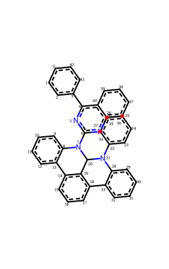 c1ccc(-c2nc(N3c4ccccc4-c4cccc5c4C3N(c3ccccc3)c3ccccc3-5)nc3ccccc23)cc1